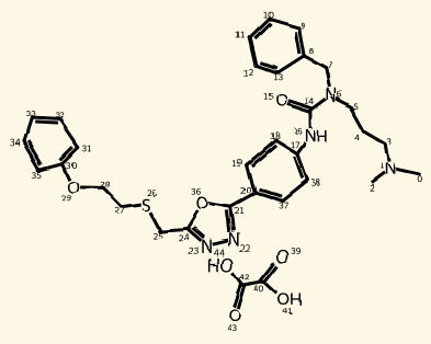 CN(C)CCCN(Cc1ccccc1)C(=O)Nc1ccc(-c2nnc(CSCCOc3ccccc3)o2)cc1.O=C(O)C(=O)O